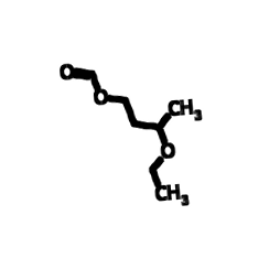 CCOC(C)CCOC=O